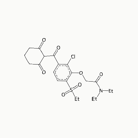 CCN(CC)C(=O)COc1c(S(=O)(=O)CC)ccc(C(=O)C2C(=O)CCCC2=O)c1Cl